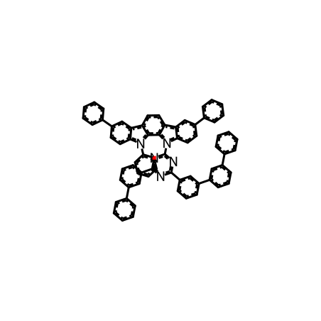 c1ccc(-c2cccc(-c3cccc(-c4nc(-c5cccc(-c6ccccc6)c5)nc(-n5c6ccc(-c7ccccc7)cc6c6ccc7c8cc(-c9ccccc9)ccc8n(-c8ccccc8)c7c65)n4)c3)c2)cc1